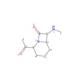 CNC1C(=O)N2C(C(C)=O)CCCC12